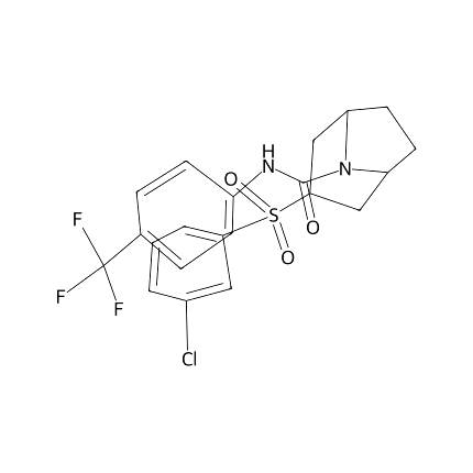 O=C(Nc1ccc(C(F)(F)F)cc1)N1C2CCC1CC(S(=O)(=O)c1cccc(Cl)c1)C2